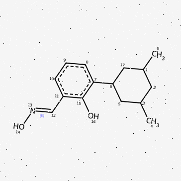 CC1CC(C)CC(c2cccc(/C=N/O)c2O)C1